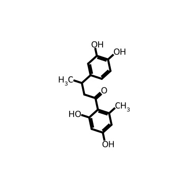 Cc1cc(O)cc(O)c1C(=O)CC(C)c1ccc(O)c(O)c1